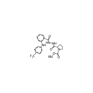 CC(C)(C)OC(=O)N1CCCC1C(=O)NNC(=O)c1ccccc1Nc1ccc(C(F)(F)F)cc1